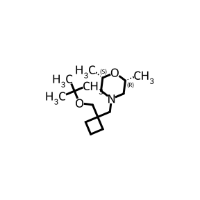 C[C@@H]1CN(CC2(COC(C)(C)C)CCC2)C[C@H](C)O1